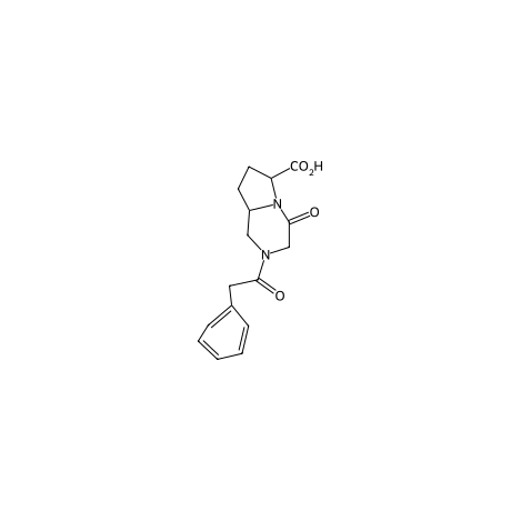 O=C(O)C1CCC2CN(C(=O)Cc3ccccc3)CC(=O)N21